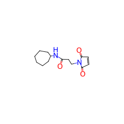 O=C(CCN1C(=O)C=CC1=O)NC1CCCCCC1